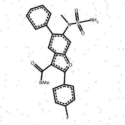 CNC(=O)c1c(-c2ccc(F)cc2)oc2cc(N(C)S(N)(=O)=O)c(-c3ccccc3)cc12